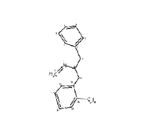 C=NC(Cc1ccccc1)Cc1ccccc1C